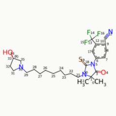 CC1(C)C(=O)N(c2ccc(C#N)c(C(F)(F)F)c2)C(=S)N1CCCCCCCCCN1CC[C@@H](O)C1